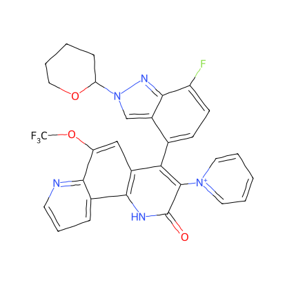 O=c1[nH]c2c(cc(OC(F)(F)F)c3ncccc32)c(-c2ccc(F)c3nn(C4CCCCO4)cc23)c1-[n+]1ccccc1